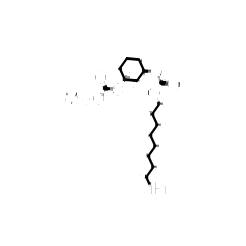 COC(=O)OC1CCCC(OC(=O)OCCCCCCCCC(C)C)C1